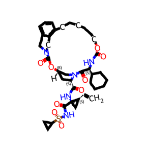 C=C[C@@H]1C[C@]1(NC(=O)[C@@H]1C[C@@H]2CN1C(=O)[C@H](C1CCCCC1)NC(=O)OCCCCCCc1cccc3c1CN(C3)C(=O)O2)C(=O)NS(=O)(=O)C1CC1